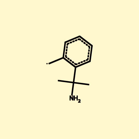 [CH2]c1ccccc1C(C)(C)N